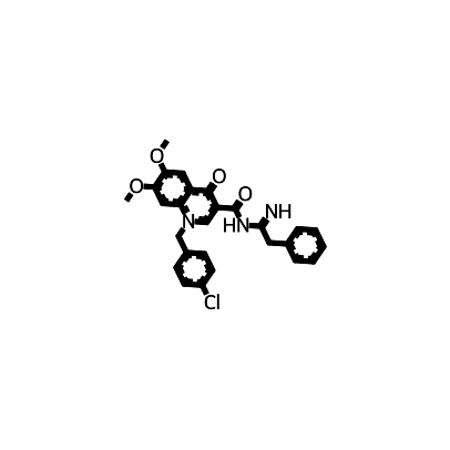 COc1cc2c(=O)c(C(=O)NC(=N)Cc3ccccc3)cn(Cc3ccc(Cl)cc3)c2cc1OC